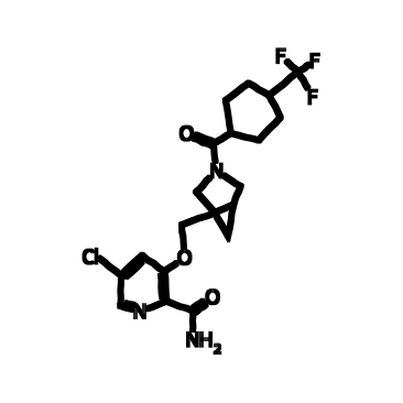 NC(=O)c1ncc(Cl)cc1OCC12CC1CN(C(=O)C1CCC(C(F)(F)F)CC1)C2